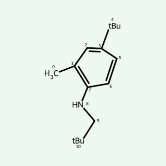 Cc1cc(C(C)(C)C)ccc1NCC(C)(C)C